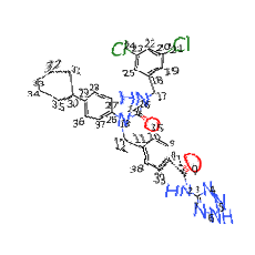 O=C(Nc1nn[nH]n1)c1ccc(CN(C(=O)NCc2cc(Cl)cc(Cl)c2)c2ccc(C3CCCCC3)cc2)cc1